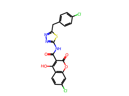 O=C(Nc1nnc(Cc2ccc(Cl)cc2)s1)c1c(O)c2ccc(Cl)cc2oc1=O